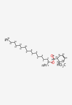 CCCC(CCCCCCCCCCCCCCC(C)C)OC(=O)C1CC=CCC1C(=O)O